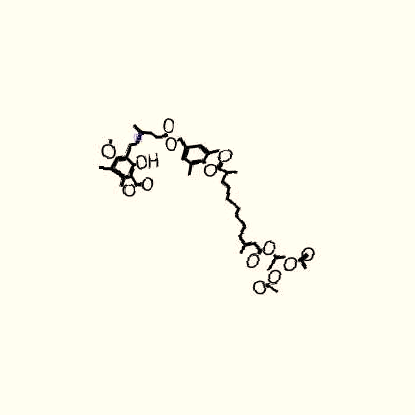 COc1c(C)c2c(c(O)c1C/C=C(\C)CCC(=O)OCc1cc(C)c(OC(=O)C(C)CCCCCCCC(C)CC(=O)OC(COC(C)=O)COC(C)=O)c(C)c1)C(=O)OC2